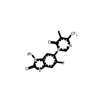 Cc1c(C(F)(F)F)ncn(-c2cc3c(cc2F)sc(=O)n3C(C)C)c1=O